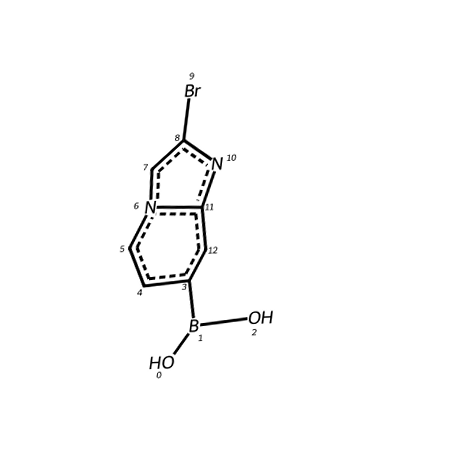 OB(O)c1ccn2cc(Br)nc2c1